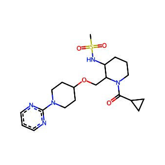 CS(=O)(=O)NC1CCCN(C(=O)C2CC2)C1COC1CCN(c2ncccn2)CC1